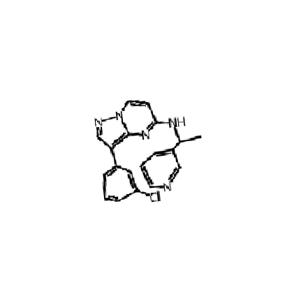 CC(Nc1ccn2ncc(-c3cccc(Cl)c3)c2n1)c1cccnc1